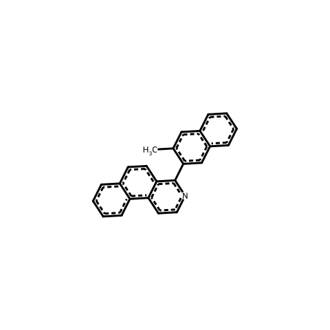 Cc1cc2ccccc2cc1-c1nccc2c1ccc1ccccc12